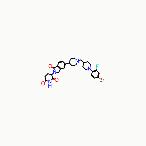 O=C1CCC(N2Cc3cc(C4CCN(CC5CCN(c6ccc(Br)cc6F)CC5)CC4)ccc3C2=O)C(=O)N1